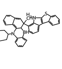 CC1(c2cccc3c2[nH]c2sc4ccccc4c23)C=c2ccccc2=C2C1Bc1ccccc1N2C1CC=CCC1